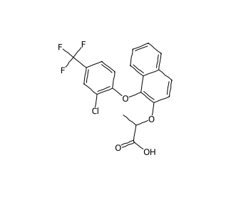 CC(Oc1ccc2ccccc2c1Oc1ccc(C(F)(F)F)cc1Cl)C(=O)O